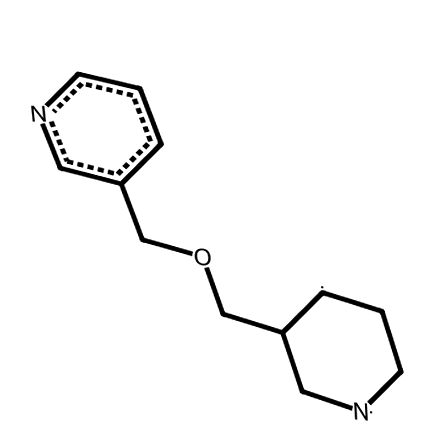 [CH]1CC[N]CC1COCc1cccnc1